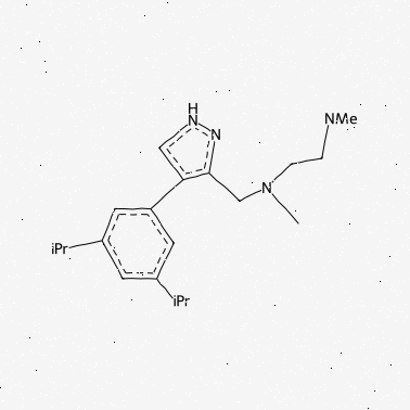 CNCCN(C)Cc1n[nH]cc1-c1cc(C(C)C)cc(C(C)C)c1